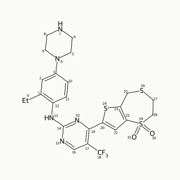 CCc1cc(N2CCNCC2)ccc1Nc1ncc(C(F)(F)F)c(-c2cc3c(s2)CSCCS3(=O)=O)n1